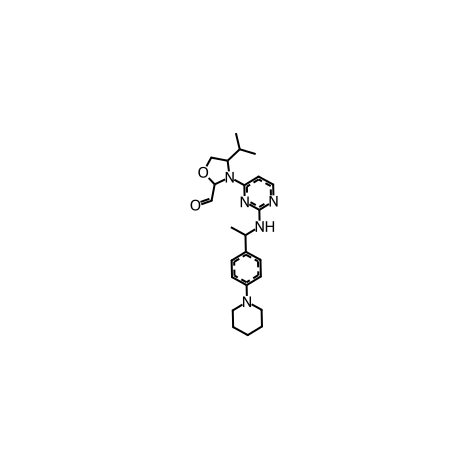 CC(Nc1nccc(N2C(C=O)OCC2C(C)C)n1)c1ccc(N2CCCCC2)cc1